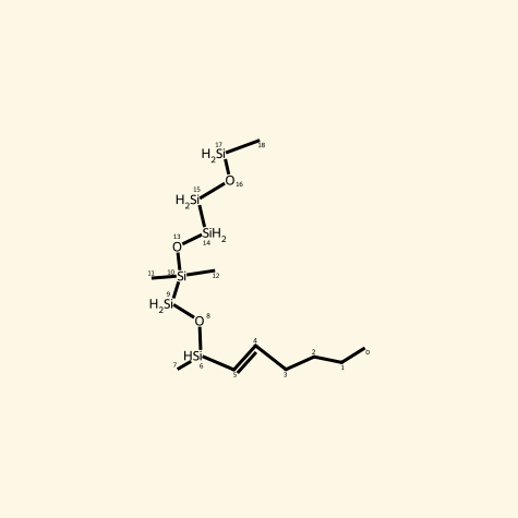 CCCCC=C[SiH](C)O[SiH2][Si](C)(C)O[SiH2][SiH2]O[SiH2]C